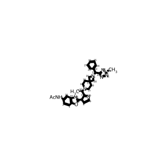 CC(=O)Nc1ccc2oc(C3C=CN=C3[C@@H](C)N3CCC4(CC3)CN(C(c3ccccc3)c3nnn(C)n3)C4)nc2c1